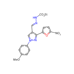 CCOC(=O)NN=Cc1cn(-c2ccc(OC)cc2)nc1-c1ccc([N+](=O)[O-])o1